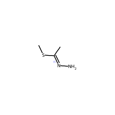 CS/C(C)=N/N